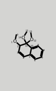 COC1[C]=Cc2ccccc2C1(OC)OC